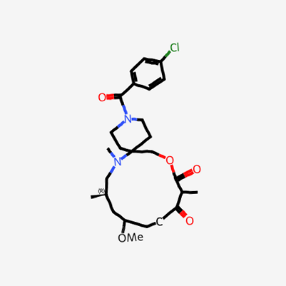 COC1CCC(=O)C(C)C(=O)OCC2(CCN(C(=O)c3ccc(Cl)cc3)CC2)N(C)C[C@H](C)C1